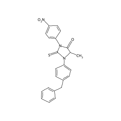 CC1C(=O)N(c2ccc([N+](=O)[O-])cc2)C(=S)N1c1ccc(Cc2ccccc2)cc1